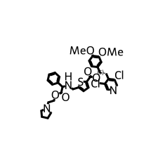 COc1ccc([C@H](Cc2c(Cl)cncc2Cl)OC(=O)c2ccc(CNC(C(=O)OCCN3CCCC3)c3ccccc3)s2)cc1OC